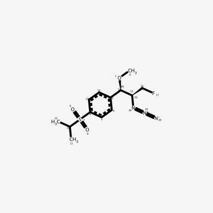 CO[C@H](c1ccc(S(=O)(=O)C(C)C)cc1)[C@@H](CF)N=[N+]=[N-]